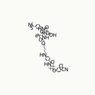 Cc1ncsc1-c1ccc(CNC(=O)[C@@H]2C[C@@H](O)CN2C(=O)C(NC(=O)COCCCCCNc2ccc(C(=O)N[C@H]3C(C)(C)[C@H](Oc4ccc(C#N)c(Cl)c4)C3(C)C)cc2)C(C)C)cc1